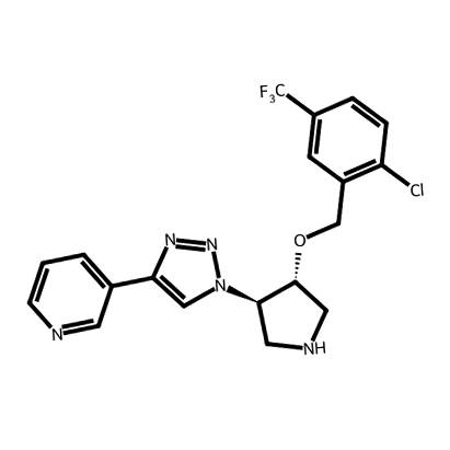 FC(F)(F)c1ccc(Cl)c(CO[C@@H]2CNC[C@H]2n2cc(-c3cccnc3)nn2)c1